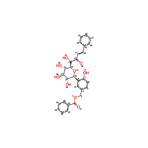 O=C(OCc1ccc(O)c([C@@H]2O[C@H](C(O)C(=O)C=Cc3ccccc3)[C@@H](O)[C@H](O)[C@H]2O)c1)c1ccccc1